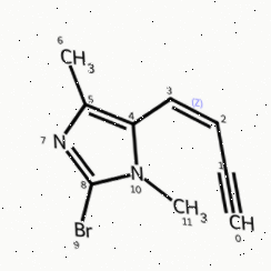 C#C/C=C\c1c(C)nc(Br)n1C